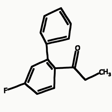 CCC(=O)c1ccc(F)cc1-c1ccccc1